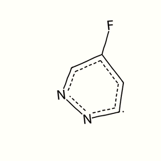 Fc1c[c]nnc1